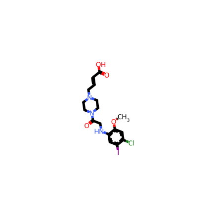 COc1cc(Cl)c(I)cc1NCC(=O)N1CCN(CC=CC(=O)O)CC1